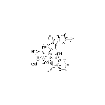 Cc1nc2c(cc(-c3nnc(Br)s3)n2C)c(-c2cc(F)c3c(c2C)CCCO3)c1[C@H](OC(C)(C)C)C(=O)O